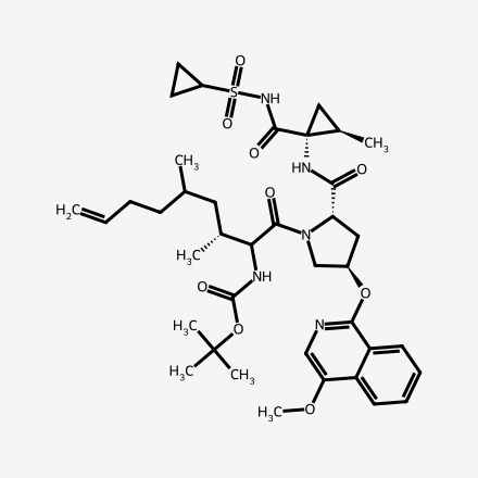 C=CCCC(C)C[C@@H](C)C(NC(=O)OC(C)(C)C)C(=O)N1C[C@H](Oc2ncc(OC)c3ccccc23)C[C@H]1C(=O)N[C@]1(C(=O)NS(=O)(=O)C2CC2)C[C@H]1C